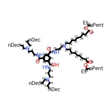 CCCCCCCCCCCCN(CCCCCCCCCCCC)CCCNC(=O)c1cc(C(=O)NCCCN(CCCCCCCCC(=O)OC(CC)CCCCC)CCCCCCCCC(=O)OC(CC)CCCCC)cc(C(O)NCCCN(CCCCCCCCCCCC)CCCCCCCCCCCC)c1